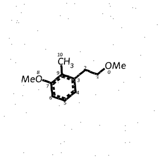 COCCc1cccc(OC)c1C